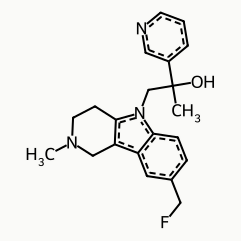 CN1CCc2c(c3cc(CF)ccc3n2CC(C)(O)c2cccnc2)C1